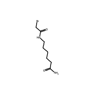 NC(=O)CCCCCNC(=O)CBr